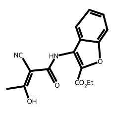 CCOC(=O)c1oc2ccccc2c1NC(=O)/C(C#N)=C(/C)O